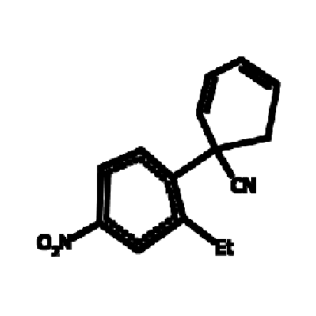 CCc1cc([N+](=O)[O-])ccc1C1(C#N)C=CC=CC1